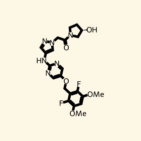 COc1cc(OC)c(F)c(COc2cnc(Nc3cnn(CC(=O)N4CC[C@H](O)C4)c3)nc2)c1F